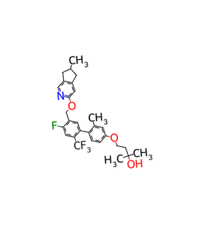 Cc1cc(OCCC(C)(C)O)ccc1-c1cc(COc2cc3c(cn2)CC(C)C3)c(F)cc1C(F)(F)F